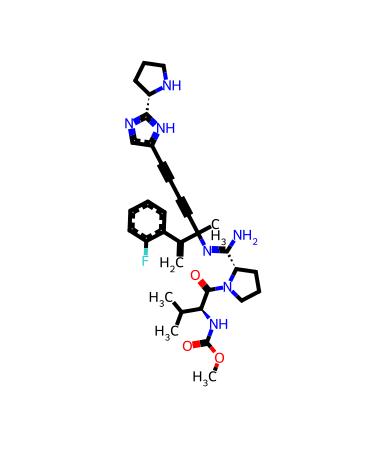 C=C(c1ccccc1F)C(C)(C#CC#Cc1cnc([C@@H]2CCCN2)[nH]1)/N=C(\N)[C@@H]1CCCN1C(=O)[C@@H](NC(=O)OC)C(C)C